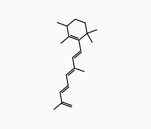 C=C(C)/C=C/C=C(C)/C=C/C1=C(C)C(C)CCC1(C)C